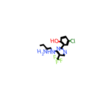 CC[C@@H](N)CNc1nc(-c2cc(Cl)ccc2O)ncc1C(F)(F)F